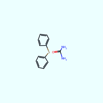 NC(N)=O.c1ccc(Sc2ccccc2)cc1